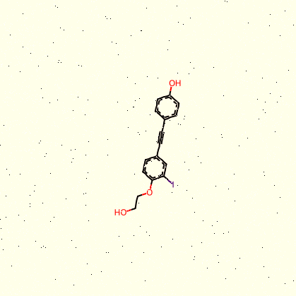 OCCOc1ccc(C#Cc2ccc(O)cc2)cc1I